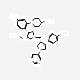 COC[C@H]1CN(C(=O)[C@@H]2CN(c3cncnc3)C[C@H]2c2ccc(OC)cc2)C[C@@H]1c1ccc(C(F)(F)F)cc1N1CCC(C(=O)O)CC1